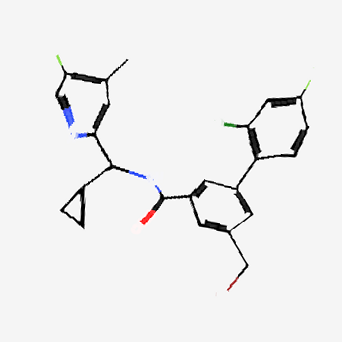 Cc1cc(C(NC(=O)c2cc(CBr)cc(-c3ccc(F)cc3Cl)c2)C2CC2)ncc1F